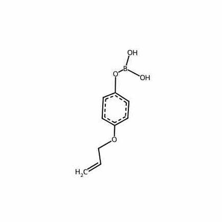 C=CCOc1ccc(OB(O)O)cc1